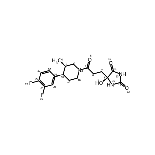 C[C@H]1CN(C(=O)CC[C@@]2(O)NC(=O)NC2=O)CC[C@H]1c1ccc(F)c(F)c1